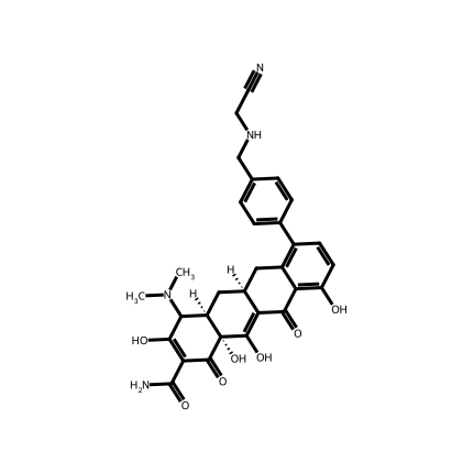 CN(C)C1C(O)=C(C(N)=O)C(=O)[C@]2(O)C(O)=C3C(=O)c4c(O)ccc(-c5ccc(CNCC#N)cc5)c4C[C@@H]3C[C@H]12